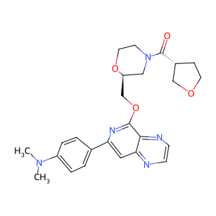 CN(C)c1ccc(-c2cc3nccnc3c(OC[C@@H]3CN(C(=O)[C@@H]4CCOC4)CCO3)n2)cc1